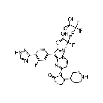 O=C(O)C(F)(F)F.O=C(O)C(F)(F)F.O=C1OCC(C2CCNCC2)N1c1ccn2ncc(-c3ccc(-c4nc[nH]n4)c(F)c3)c2n1